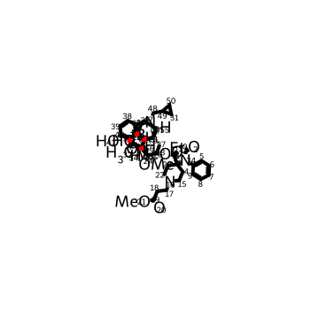 CCC(=O)N(c1ccccc1)C1(C(=O)OC)CCN(CCC(=O)OC)CC1.CO[C@@]12CC[C@@]3(C[C@@H]1[C@](C)(O)C(C)(C)C)[C@H]1Cc4ccc(O)c5c4[C@@]3(CCN1CC1CC1)[C@H]2O5